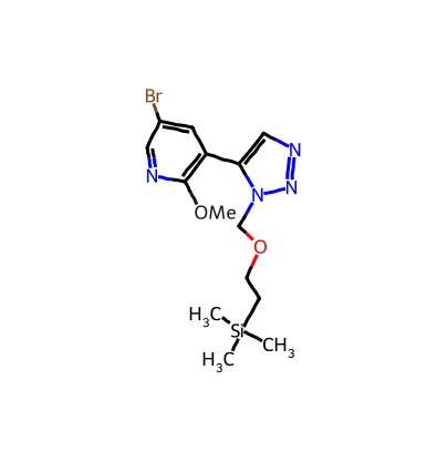 COc1ncc(Br)cc1-c1cnnn1COCC[Si](C)(C)C